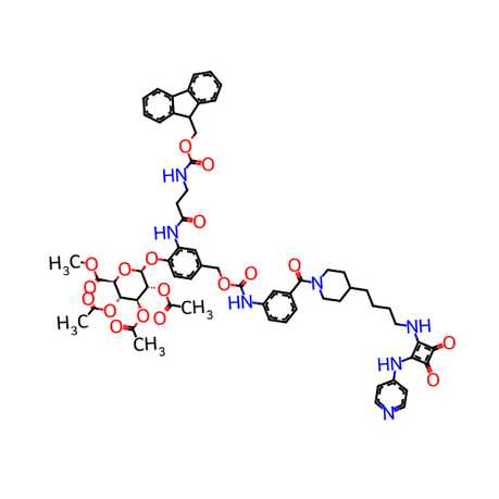 COC(=O)[C@H]1O[C@@H](Oc2ccc(COC(=O)Nc3cccc(C(=O)N4CCC(CCCCNc5c(Nc6ccncc6)c(=O)c5=O)CC4)c3)cc2NC(=O)CCNC(=O)OCC2c3ccccc3-c3ccccc32)[C@H](OC(C)=O)[C@@H](OC(C)=O)[C@@H]1OC(C)=O